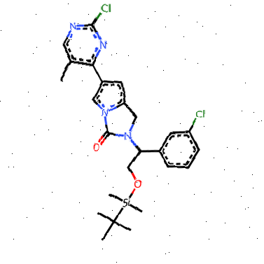 Cc1cnc(Cl)nc1-c1cc2n(c1)C(=O)N(C(CO[Si](C)(C)C(C)(C)C)c1cccc(Cl)c1)C2